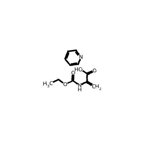 C=C(NC(=O)OCC)C(=O)O.c1ccncc1